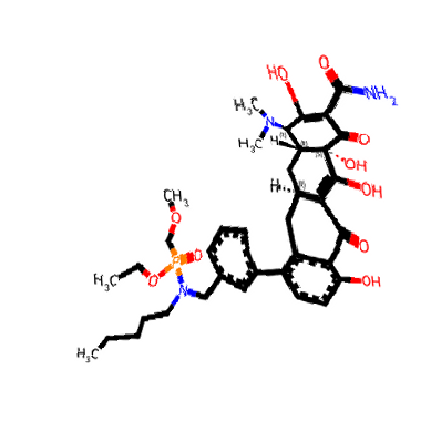 CCCCCN(Cc1cccc(-c2ccc(O)c3c2C[C@H]2C[C@@H]4[C@@H](N(C)C)C(O)=C(C(N)=O)C(=O)[C@@]4(O)C(O)=C2C3=O)c1)P(=O)(COC)OCC